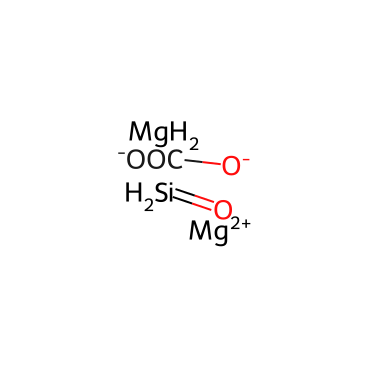 O=C([O-])[O-].O=[SiH2].[Mg+2].[MgH2]